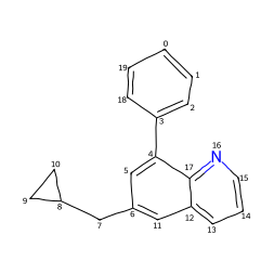 c1ccc(-c2cc(CC3CC3)cc3cccnc23)cc1